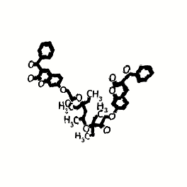 CCC(CC)(CC(C)OC(CC)(CC)C(=O)COc1ccc2cc(C(=O)c3ccccc3)c(=O)oc2c1)OC(=O)COc1ccc2cc(C(=O)c3ccccc3)c(=O)oc2c1